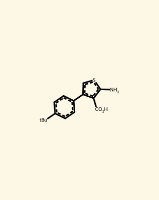 CC(C)(C)c1ccc(-c2csc(N)c2C(=O)O)cc1